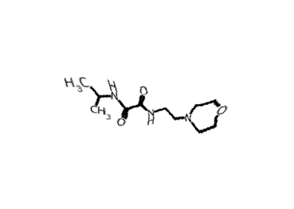 CC(C)NC(=O)C(=O)NCCN1CCOCC1